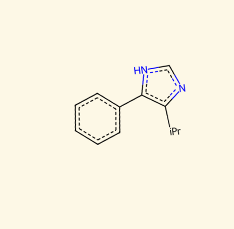 CC(C)c1nc[nH]c1-c1ccccc1